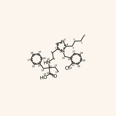 CCCCc1ncc(CCNC(CC)(Cc2ccccc2)C(=O)O)n1Cc1ccccc1Cl